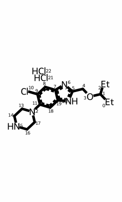 CCC(CC)OCc1nc2cc(Cl)c(N3CCNCC3)cc2[nH]1.Cl.Cl